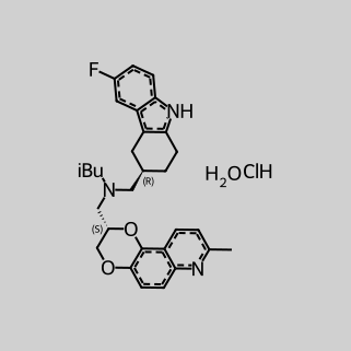 CCC(C)N(C[C@@H]1CCc2[nH]c3ccc(F)cc3c2C1)C[C@H]1COc2ccc3nc(C)ccc3c2O1.Cl.O